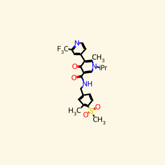 Cc1cc(CNC(=O)c2cn(C(C)C)c(C)c(-c3ccnc(C(F)(F)F)c3)c2=O)ccc1S(C)(=O)=O